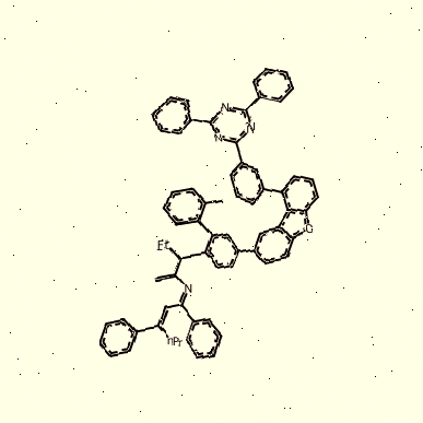 C=C(/N=C(\C=C(/CCC)c1ccccc1)c1ccccc1)C(CC)c1ccc(-c2ccc3oc4cccc(-c5cccc(-c6nc(-c7ccccc7)nc(-c7ccccc7)n6)c5)c4c3c2)cc1-c1ccccc1C